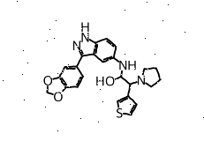 OC(Nc1ccc2[nH]nc(-c3ccc4c(c3)OCO4)c2c1)C(c1ccsc1)N1CCCC1